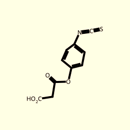 O=C(O)CC(=O)Oc1ccc(N=C=S)cc1